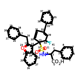 O=C(O)C(Cc1ccccc1)NS(=O)(=O)C1(c2c(Cc3ccccc3)oc3ccccc23)C=CC(c2ccccc2)=CC1F